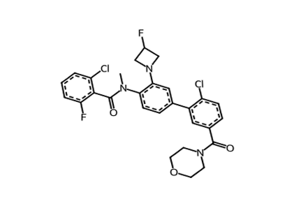 CN(C(=O)c1c(F)cccc1Cl)c1ccc(-c2cc(C(=O)N3CCOCC3)ccc2Cl)cc1N1CC(F)C1